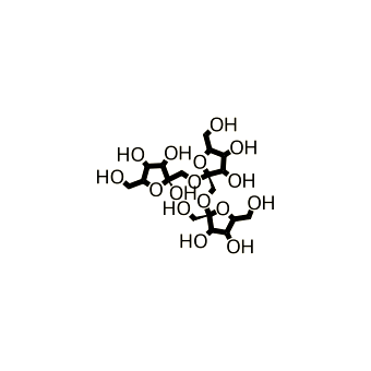 OCC1O[C@@](CO)(OC[C@@]2(OC[C@@]3(O)OC(CO)C(O)C3O)OC(CO)C(O)C2O)C(O)C1O